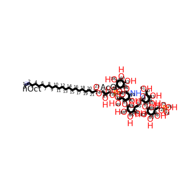 CCCCCCCC/C=C\CCCCCCCCCCCCCCCCCCCC(=O)OC[C@@H](O)COP(=O)(O)OC1C(OC(C)=O)[C@H](O)C(O)C(O)[C@H]1O[C@H]1OC(CO)[C@@H](O[C@H]2OC(CO[C@H]3OC(CO)[C@@H](O)C(O)C3O[C@H]3OC(COP(=O)(O)O)[C@H](O)C(O)C3O)[C@@H](O)C(O)C2O)C(O)C1N